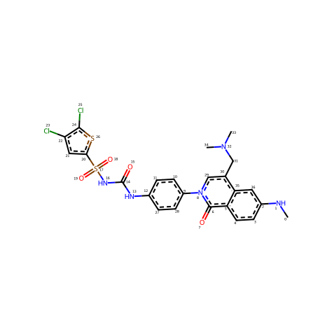 CNc1ccc2c(=O)n(-c3ccc(NC(=O)NS(=O)(=O)c4cc(Cl)c(Cl)s4)cc3)cc(CN(C)C)c2c1